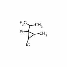 CCC1C(C)C1(CC)C(C)C(F)(F)F